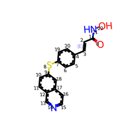 O=C(/C=C/c1ccc(Sc2ccc3cnccc3c2)cc1)NO